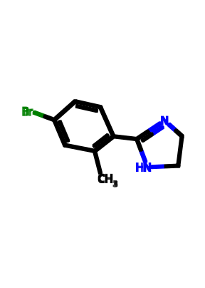 Cc1cc(Br)ccc1C1=NCCN1